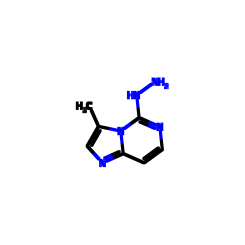 Cc1cnc2ccnc(NN)n12